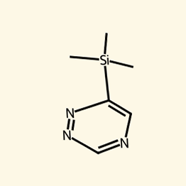 C[Si](C)(C)c1cncnn1